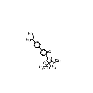 CC(CCn1ccc(-c2ccc(C(O)CO)cc2)cc1=O)(C(=O)NO)S(C)(=O)=O